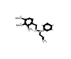 C=CC[SiH](OCc1ccc(OC)c(OC)c1[N+](=O)[O-])c1ccccc1